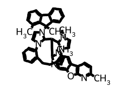 Cc1ccc2c(n1)oc1c3c4c(cc12)N1C=CN(C)C1C(C1N(C)C=CN31)C1N(C=CN1C1(C)c2ccccc2-c2cccc(C)c21)c1ccccc1CC4